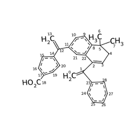 C=C(C1=CCC(C)(C)c2ccc(C(=C)c3ccc(C(=O)O)cc3)cc21)c1ccccc1